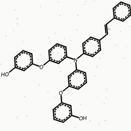 Oc1cccc(Oc2cccc(N(c3ccc(/C=C/c4ccccc4)cc3)c3cccc(Oc4cccc(O)c4)c3)c2)c1